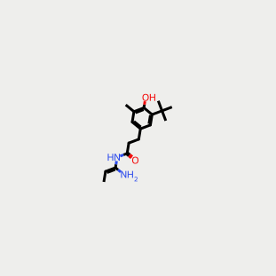 CC=C(N)NC(=O)CCc1cc(C)c(O)c(C(C)(C)C)c1